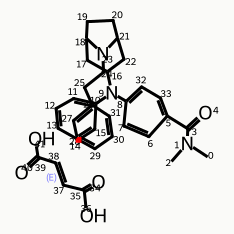 CN(C)C(=O)c1ccc(N(c2ccccc2)C2CC3CCC(C2)N3CCc2ccccc2)cc1.O=C(O)/C=C/C(=O)O